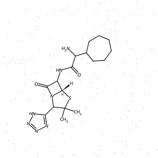 CC1(C)S[C@H]2C(NC(=O)C(N)C3CCCCCC3)C(=O)N2C1c1nnn[nH]1